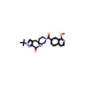 COc1nccc2ccc(C(=O)N3CCC4(CC3)Cc3cn(C(C)(C)C)nc3C(=O)N4)cc12